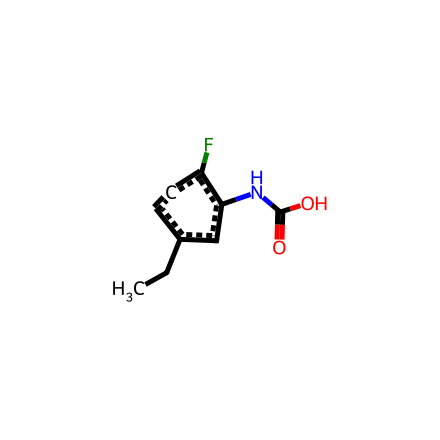 CCc1ccc(F)c(NC(=O)O)c1